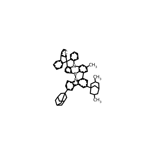 Cc1cc2c3c(c1)N1c4ccccc4C4(c5ccccc5-c5ccccc54)c4cccc(c41)B3n1c3ccc(C45CC6CC(CC(C6)C4)C5)cc3c3cc(C45CC(C)CC(CC(C)C4)C5)cc-2c31